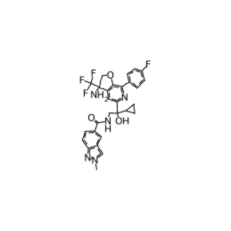 Cn1cc2cc(C(=O)NCC(O)(c3cc4c(c(-c5ccc(F)cc5)n3)OC[C@@]4(N)C(F)(F)F)C3CC3)ccc2n1